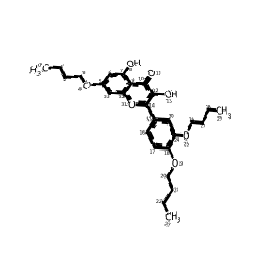 CCCCOc1cc(O)c2c(=O)c(O)c(-c3ccc(OCCCC)c(OCCCC)c3)oc2c1